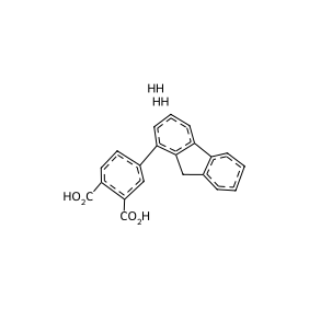 O=C(O)c1ccc(-c2cccc3c2Cc2ccccc2-3)cc1C(=O)O.[HH].[HH]